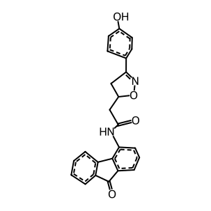 O=C(CC1CC(c2ccc(O)cc2)=NO1)Nc1cccc2c1-c1ccccc1C2=O